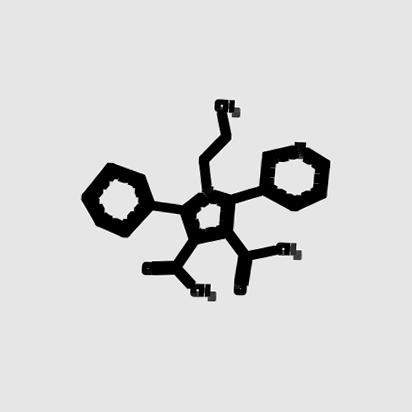 CCCn1c(-c2ccccc2)c(C(C)=O)c(C(C)=O)c1-c1cccnc1